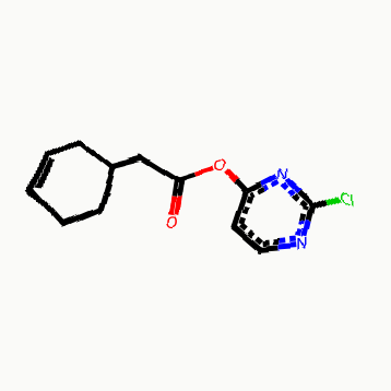 O=C(CC1CC=CCC1)Oc1ccnc(Cl)n1